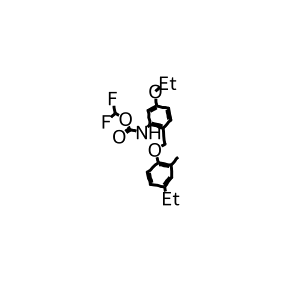 CCOc1ccc(COc2ccc(CC)cc2C)c(NC(=O)OC(F)F)c1